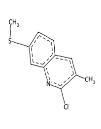 CSc1ccc2cc(C)c(Cl)nc2c1